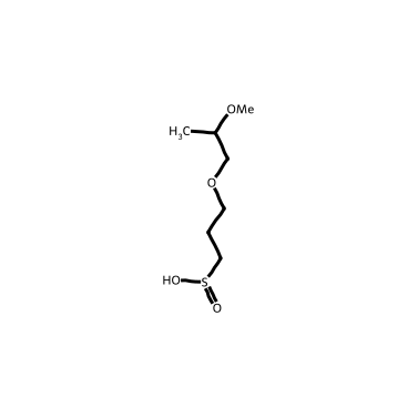 COC(C)COCCCS(=O)O